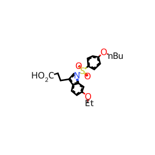 CCCCOc1ccc(S(=O)(=O)n2cc(CCC(=O)O)c3ccc(OCC)cc32)cc1